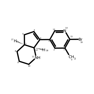 Cc1cc(C2=CC[C@@H]3CCCN[C@H]23)cnc1Br